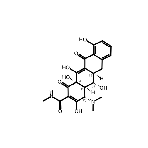 CNC(=O)C1=C(O)[C@@H](N(C)C)[C@@H]2[C@@H](O)[C@@H]3Cc4cccc(O)c4C(=O)C3=C(O)[C@]2(O)C1=O